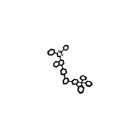 c1ccc(-c2cc(-c3ccc(-c4ccc(-c5cccc(-c6ccc7c(c6)-c6ccccc6C7(c6ccccc6)c6ccccc6)c5)cc4)c4ccccc34)nc(-c3ccccc3)n2)cc1